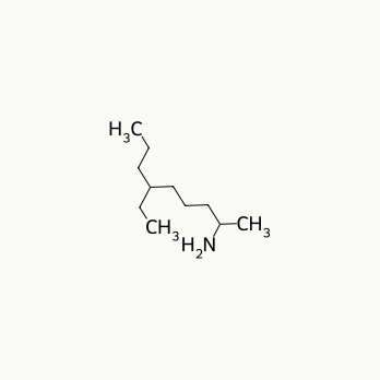 CCCC(CC)CCCC(C)N